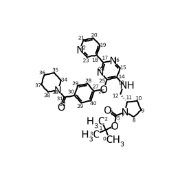 CC(C)(C)OC(=O)N1CCC[C@H]1CNc1cnc(-c2cccnc2)nc1Oc1ccc(C(=O)N2CCCCC2)cc1